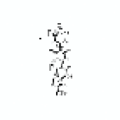 CCCc1ccc2c(F)c(-c3ccc(-c4ccc(F)c(F)c4)c(F)c3)ccc2c1